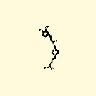 COc1cc(/C=C/C(=O)OCN2CCN(CCCON(O)O)CC2)ccc1O